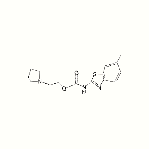 Cc1ccc2nc(NC(=O)OCCN3CCCC3)sc2c1